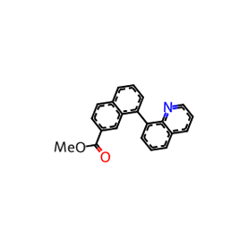 COC(=O)c1ccc2cccc(-c3cccc4cccnc34)c2c1